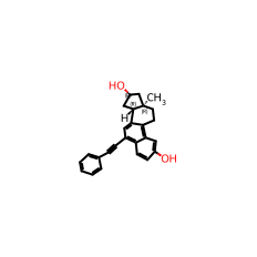 C[C@]12CCc3c(cc(C#Cc4ccccc4)c4ccc(O)cc34)[C@@H]1C[C@@H](O)C2